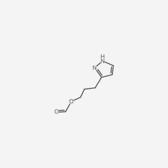 O=COCCCc1cc[nH]n1